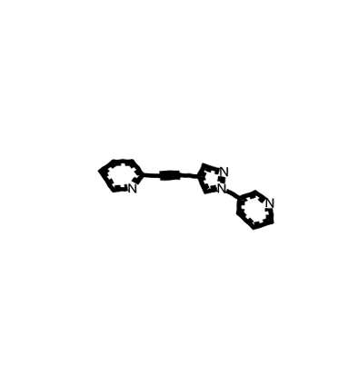 C(#Cc1ccccn1)c1cnn(-c2cccnc2)c1